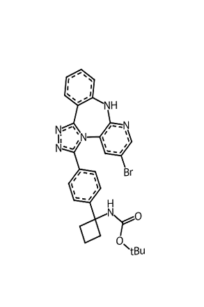 CC(C)(C)OC(=O)NC1(c2ccc(-c3nnc4n3-c3cc(Br)cnc3Nc3ccccc3-4)cc2)CCC1